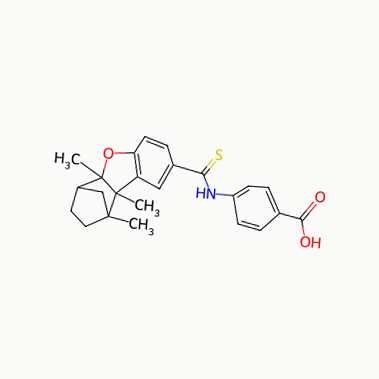 CC12CCC(C1)C1(C)Oc3ccc(C(=S)Nc4ccc(C(=O)O)cc4)cc3C21C